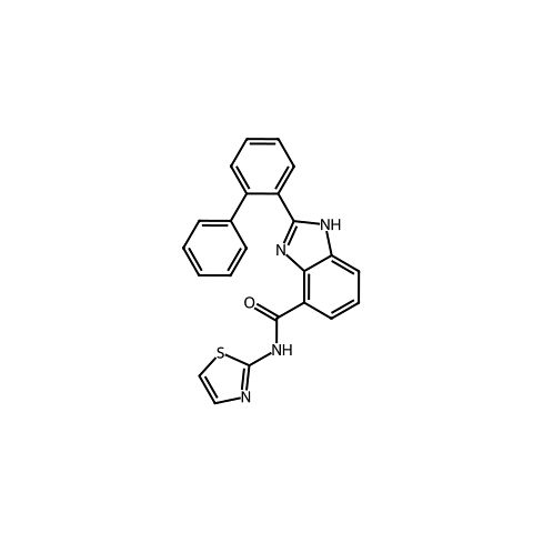 O=C(Nc1nccs1)c1cccc2[nH]c(-c3ccccc3-c3ccccc3)nc12